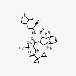 CC(C)(C)[C@H](NC(=O)C1(C2CC2)CC1)C(=O)N1C[C@H]2[C@@H]([C@H]1C(=O)N[C@H](C#N)C[C@@H]1CCNC1=O)[C@H]1C=C[C@@H]2C1